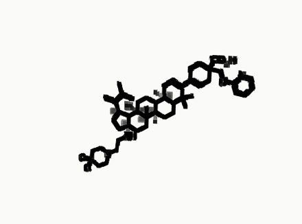 C=C(C)C(=C)[C@@H]1CC[C@]2(NCCN3CCS(=O)(=O)CC3)CC[C@]3(C)[C@H](CCC4[C@@]5(C)CC=C(C6=CCC(COc7ccccn7)(C(=O)O)CC6)C(C)(C)C5CC[C@]43C)C12